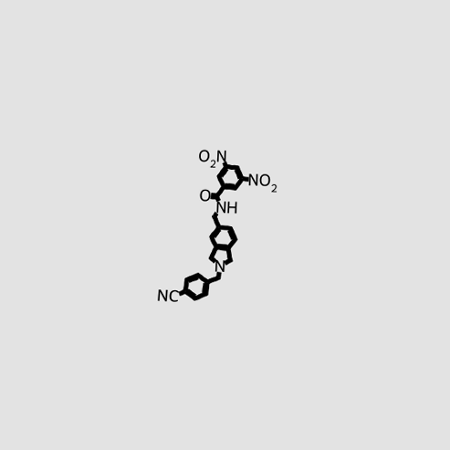 N#Cc1ccc(CN2Cc3ccc(CNC(=O)c4cc([N+](=O)[O-])cc([N+](=O)[O-])c4)cc3C2)cc1